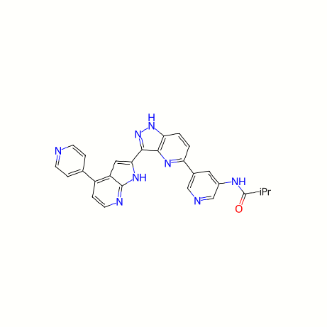 CC(C)C(=O)Nc1cncc(-c2ccc3[nH]nc(-c4cc5c(-c6ccncc6)ccnc5[nH]4)c3n2)c1